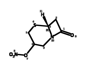 O=C1C[C@H]2SCC(O[N+](=O)[O-])CN12